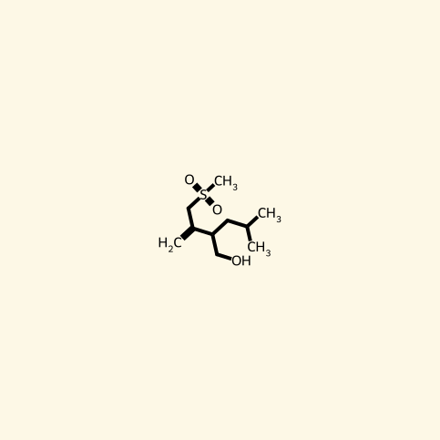 C=C(CS(C)(=O)=O)C(CO)CC(C)C